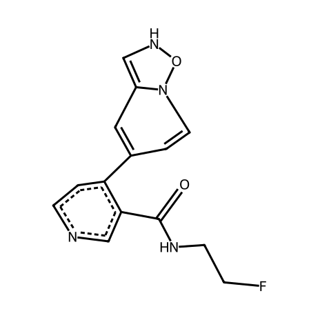 O=C(NCCF)c1cnccc1C1=CC2=CNON2C=C1